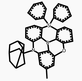 Cc1cc2c3c(c1)N(C14CC5CC(CC(C5)C1)C4)c1cccc4c1B3c1c(cccc1[Si]4(c1ccccc1)c1ccccc1)O2